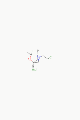 CC1(C)O[C@@H]2C[C@@H]1N(CCCl)C2.Cl